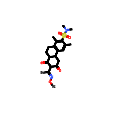 CCON=C(CC)C1C(=O)CC2c3cc(C)c(S(=O)(=O)N(C)C)c(C)c3CCC2C1=O